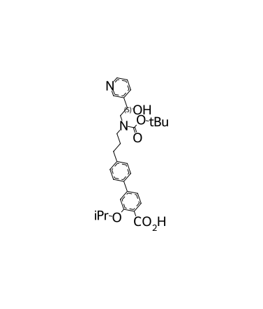 CC(C)Oc1cc(-c2ccc(CCCN(C[C@@H](O)c3cccnc3)C(=O)OC(C)(C)C)cc2)ccc1C(=O)O